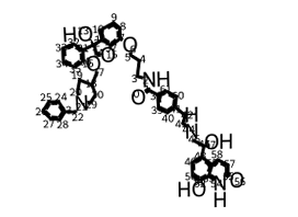 O=C(NCCCOc1cccc([C@](O)(C(=O)OCC2CCN(Cc3ccccc3)CC2)c2ccccc2)c1)c1ccc(CCNC[C@H](O)c2ccc(O)c3[nH]c(=O)ccc23)cc1